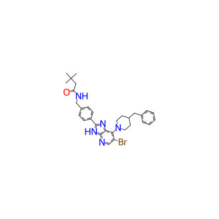 CC(C)(C)CC(=O)NCc1ccc(-c2nc3c(N4CCC(Cc5ccccc5)CC4)c(Br)cnc3[nH]2)cc1